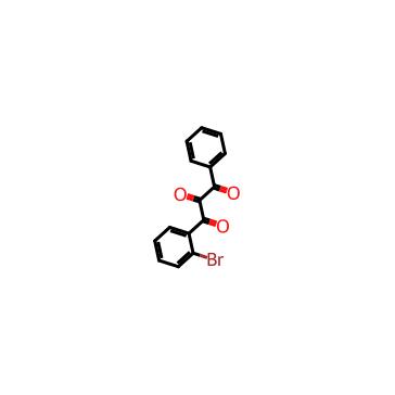 O=C(C(=O)c1ccccc1)C(=O)c1ccccc1Br